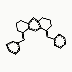 C(=C1CCCc2cc3c(nc21)C(=Cc1ccccc1)CCC3)c1ccccc1